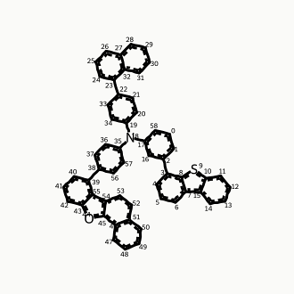 c1cc(-c2cccc3c2sc2ccccc23)cc(N(c2ccc(-c3cccc4ccccc34)cc2)c2ccc(-c3cccc4oc5c6ccccc6ccc5c34)cc2)c1